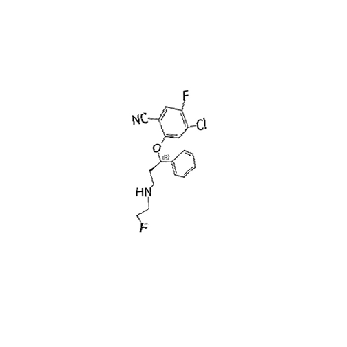 N#Cc1cc(F)c(Cl)cc1O[C@H](CCNCCF)c1ccccc1